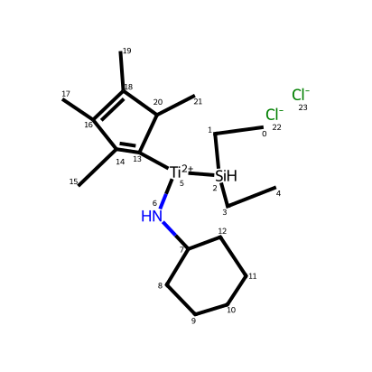 CC[SiH](CC)[Ti+2]([NH]C1CCCCC1)[C]1=C(C)C(C)=C(C)C1C.[Cl-].[Cl-]